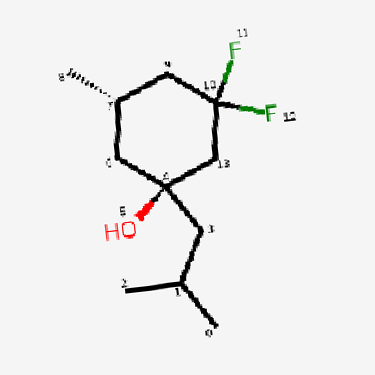 CC(C)C[C@]1(O)C[C@H](C)CC(F)(F)C1